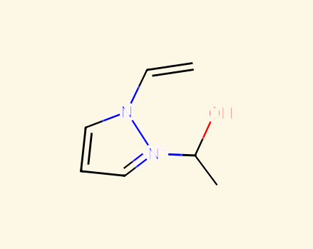 C=Cn1ccc[n+]1C(C)O